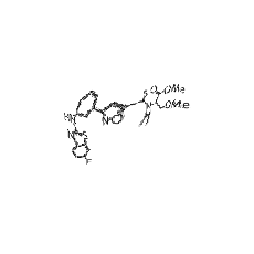 COCC(NC(=S)c1cc(-c2cccc(Nc3nc4ccc(F)cc4s3)c2)no1)C(=O)OC